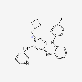 Brc1ccc(-n2c3c/c(=N\C4CCC4)c(Nc4cccnc4)cc-3nc3ccccc32)cc1